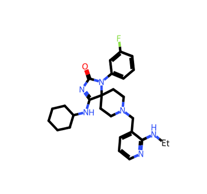 CCNc1ncccc1CN1CCC2(CC1)C(NC1CCCCC1)=NC(=O)N2c1cccc(F)c1